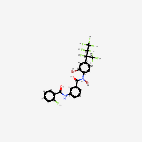 O=C(Nc1cccc(C(=O)N(Br)c2ccc(C(F)(C(F)(F)F)C(F)(F)C(F)(F)F)cc2Br)c1)c1ccccc1F